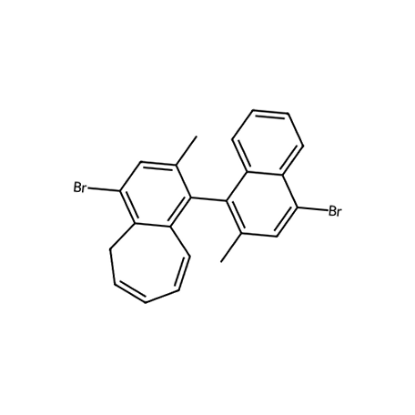 Cc1cc(Br)c2c(c1-c1c(C)cc(Br)c3ccccc13)C=CC=CC2